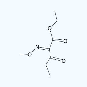 CCOC(=O)C(=NOC)C(=O)CC